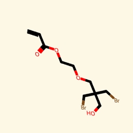 C=CC(=O)OCCOCC(CO)(CBr)CBr